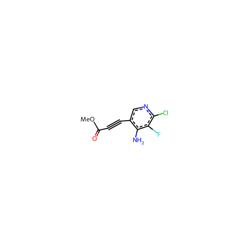 COC(=O)C#Cc1cnc(Cl)c(F)c1N